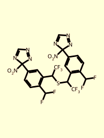 O=[N+]([O-])C1(c2ccc(C(F)F)c(C(SC(c3cc(C4([N+](=O)[O-])N=CN=N4)ccc3C(F)F)C(F)(F)F)C(F)(F)F)c2)N=CN=N1